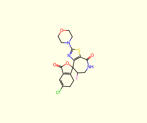 O=C1OC2(C3=C1C=C(Cl)CC3)c1nc(N3CCOCC3)sc1C(=O)NCC2I